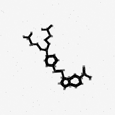 CC(C)OCCN(CCOC(C)C)c1ccc(N=Nc2snc3ccc([N+](=O)[O-])cc23)cc1